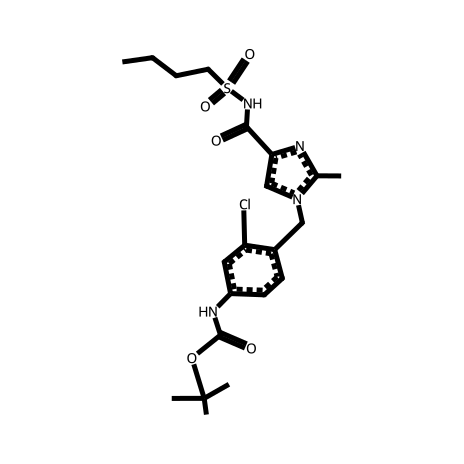 CCCCS(=O)(=O)NC(=O)c1cn(Cc2ccc(NC(=O)OC(C)(C)C)cc2Cl)c(C)n1